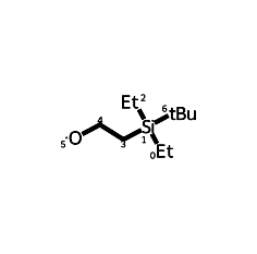 CC[Si](CC)(CC[O])C(C)(C)C